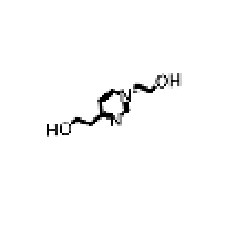 OCCc1cc[n+](CCO)cn1